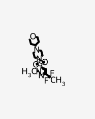 Cn1nc(C(C)(F)F)cc1S(=O)(=O)N1CCN(C2CCOCC2)CC1